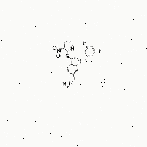 NCc1ccc2c(Sc3ncccc3[N+](=O)[O-])cn(Cc3cc(F)cc(F)c3)c2c1